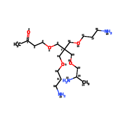 CC(=O)CCOCC(COCCCN)(COCCCN)COCC(C)N